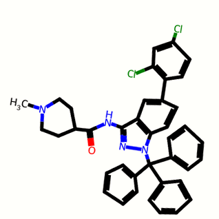 CN1CCC(C(=O)Nc2nn(C(c3ccccc3)(c3ccccc3)c3ccccc3)c3ccc(-c4ccc(Cl)cc4Cl)cc23)CC1